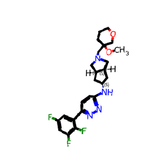 COC1(CN2C[C@H]3C[C@H](Nc4ccc(-c5cc(F)cc(F)c5F)nn4)C[C@H]3C2)CCCOC1